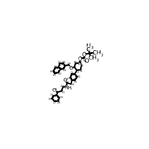 CC(C)(C)OC(=O)ON1CCC(c2ccc(CC(=O)NCCC(=O)c3ccccc3)cc2)C(OCc2ccc3ccccc3c2)C1